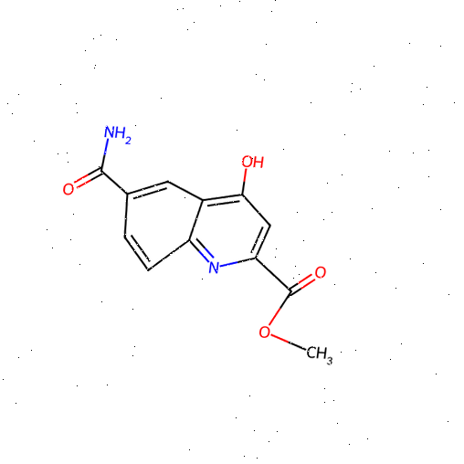 COC(=O)c1cc(O)c2cc(C(N)=O)ccc2n1